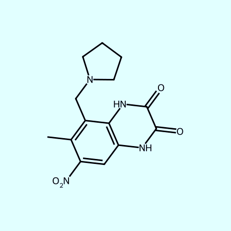 Cc1c([N+](=O)[O-])cc2[nH]c(=O)c(=O)[nH]c2c1CN1CCCC1